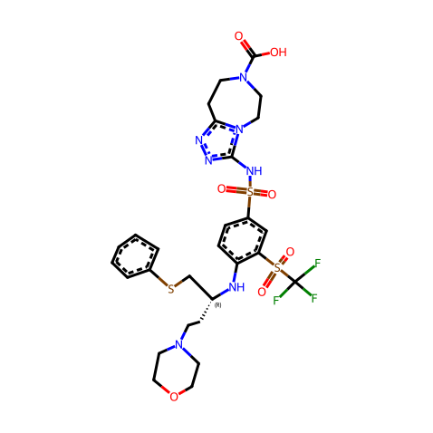 O=C(O)N1CCc2nnc(NS(=O)(=O)c3ccc(N[C@H](CCN4CCOCC4)CSc4ccccc4)c(S(=O)(=O)C(F)(F)F)c3)n2CC1